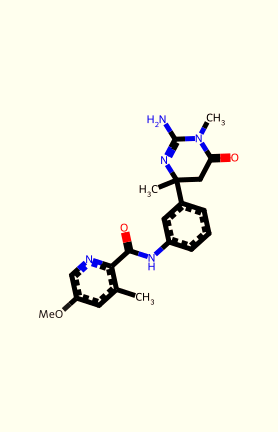 COc1cnc(C(=O)Nc2cccc(C3(C)CC(=O)N(C)C(N)=N3)c2)c(C)c1